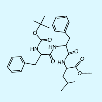 COC(=O)C(CC(C)C)NC(=O)C(Cc1ccccc1)NC(=O)C(Cc1ccccc1)NC(=O)OC(C)(C)C